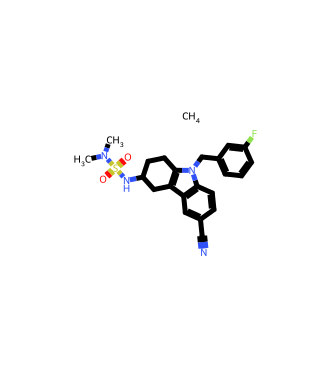 C.CN(C)S(=O)(=O)NC1CCc2c(c3cc(C#N)ccc3n2Cc2cccc(F)c2)C1